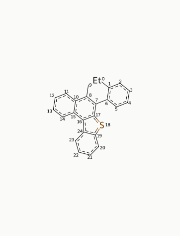 CCc1ccccc1-c1c(C)c2ccccc2c2c1sc1ccccc12